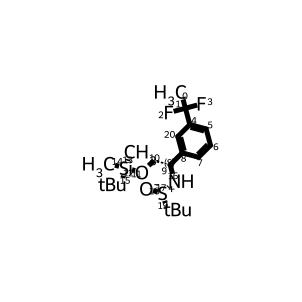 CC(F)(F)c1cccc([C@@H](CO[Si](C)(C)C(C)(C)C)N[S+]([O-])C(C)(C)C)c1